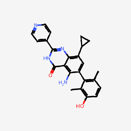 Cc1ccc(O)c(C)c1-c1cc(C2CC2)c2nc(-c3ccncc3)[nH]c(=O)c2c1N